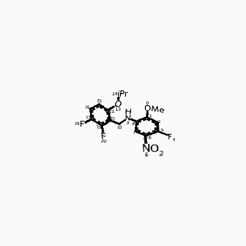 COc1cc(F)c([N+](=O)[O-])cc1NCc1c(OC(C)C)ccc(F)c1F